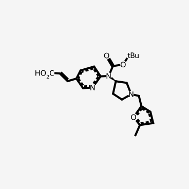 Cc1ccc(CN2CC[C@@H](N(C(=O)OC(C)(C)C)c3ccc(C=CC(=O)O)cn3)C2)o1